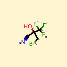 N#CC(O)(CBr)C(F)(F)F